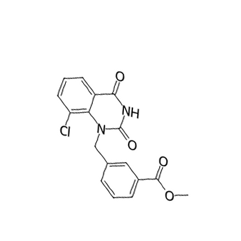 COC(=O)c1cccc(Cn2c(=O)[nH]c(=O)c3cccc(Cl)c32)c1